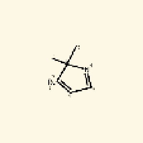 CC1(C)C=CC=N1.[Ru]